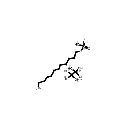 CC(C)CCCCCCCCCCCOP(=O)(O)O.OC(O)(O)C(O)(O)O